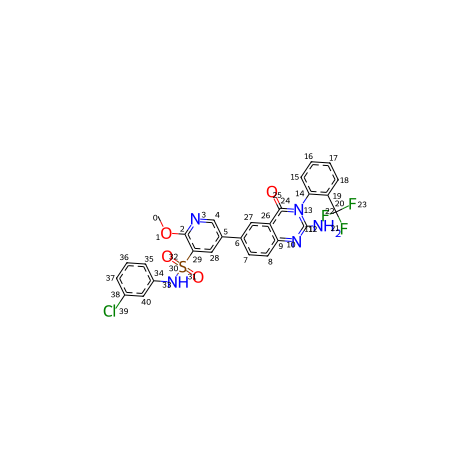 COc1ncc(-c2ccc3nc(N)n(-c4ccccc4C(F)(F)F)c(=O)c3c2)cc1S(=O)(=O)Nc1cccc(Cl)c1